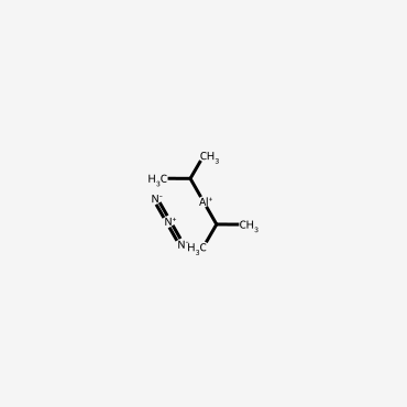 C[CH](C)[Al+][CH](C)C.[N-]=[N+]=[N-]